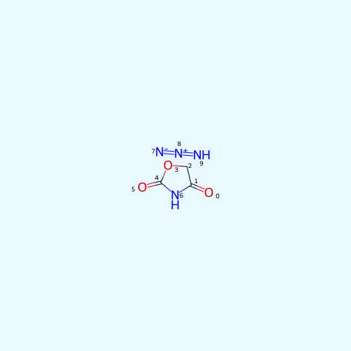 O=C1COC(=O)N1.[N-]=[N+]=N